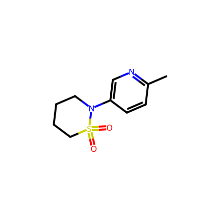 Cc1ccc(N2CCCCS2(=O)=O)cn1